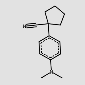 CN(C)c1ccc(C2(C#N)CCCC2)cc1